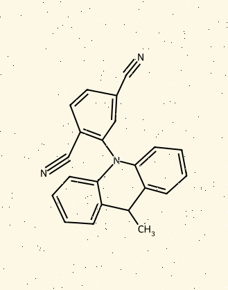 CC1c2ccccc2N(c2cc(C#N)ccc2C#N)c2ccccc21